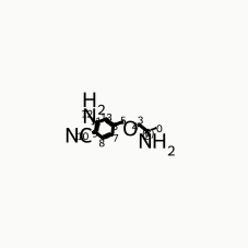 C[C@@H](N)COCc1ccc(C#N)c(N)c1